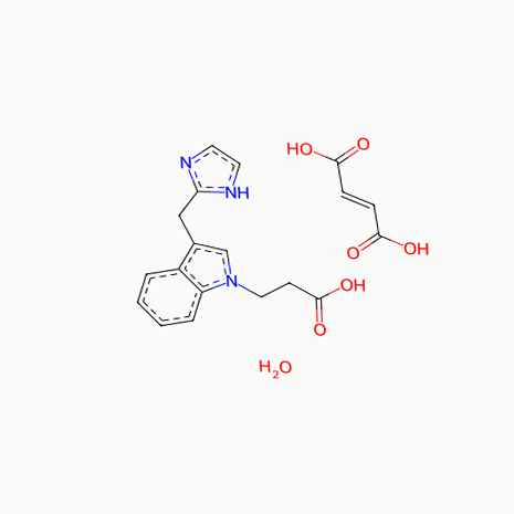 O.O=C(O)C=CC(=O)O.O=C(O)CCn1cc(Cc2ncc[nH]2)c2ccccc21